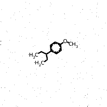 [CH2]CC(C[CH2])c1ccc(OC)cc1